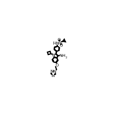 Nc1c(-c2ccc(NS(=O)(=O)C3CC3)cc2)n(C2CCC2)c2ccc(OCCn3cncn3)cc12